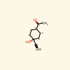 C#CC1(O)CCC(C(C)=O)CC1